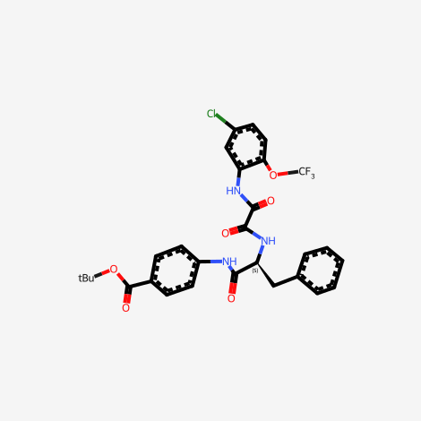 CC(C)(C)OC(=O)c1ccc(NC(=O)[C@H](Cc2ccccc2)NC(=O)C(=O)Nc2cc(Cl)ccc2OC(F)(F)F)cc1